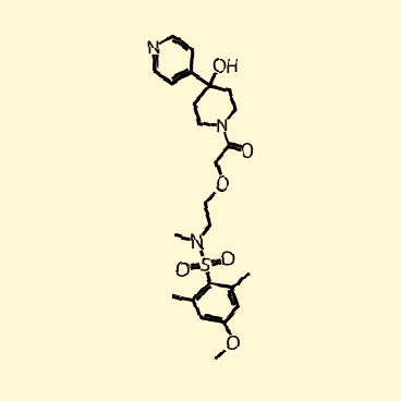 COc1cc(C)c(S(=O)(=O)N(C)CCOCC(=O)N2CCC(O)(c3ccncc3)CC2)c(C)c1